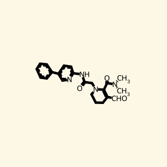 CN(C)C(=O)C1=C(C=O)CCCN1CC(=O)Nc1ccc(-c2ccccc2)cn1